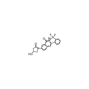 O=C1C[C@H](O)CN1c1ccc2cc(-c3ccccc3C(F)(F)F)[nH]c(=O)c2c1